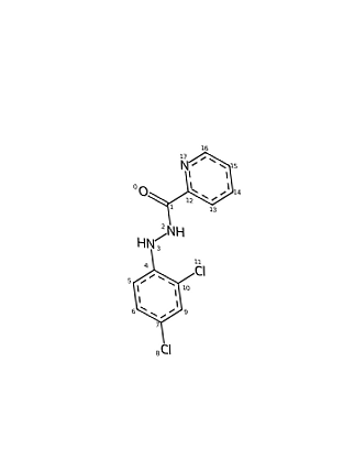 O=C(NNc1ccc(Cl)cc1Cl)c1ccccn1